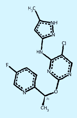 Cc1cc(Nc2nc(O[C@@H](C)c3ccc(F)cn3)ncc2Cl)n[nH]1